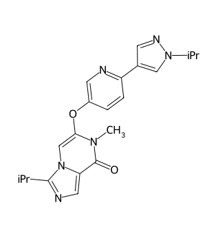 CC(C)c1ncc2c(=O)n(C)c(Oc3ccc(-c4cnn(C(C)C)c4)nc3)cn12